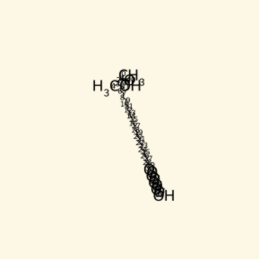 CC(=CC(C)CCCCCCCCCCCCCCCCCCCCCCCCCOOOOOOOOO)C(=O)O